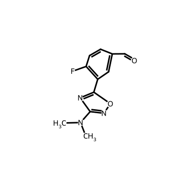 CN(C)c1noc(-c2cc(C=O)ccc2F)n1